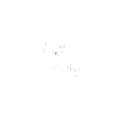 O=c1[nH]c(=O)n(-c2cc(Cl)c(Oc3n[nH]c(=O)c4c3OCCC4)c(Cl)c2)nc1C(F)F